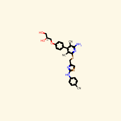 N#Cc1ccc(Nc2nc(CSc3nc(N)c(C#N)c(-c4ccc(OC[C@@H](O)CO)cc4)c3C#N)cs2)cc1